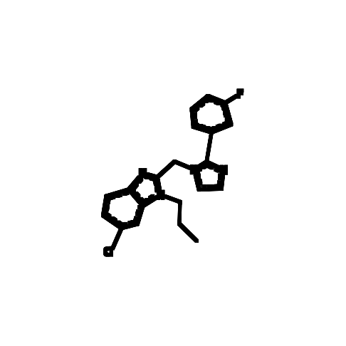 CCCn1c(Cn2ccnc2-c2cccc(F)c2)nc2ccc(Cl)cc21